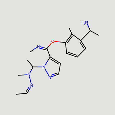 C/C=N\N(C)C(C)n1nccc1/C(=N\C)Oc1cccc(C(C)N)c1C